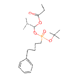 CCC(=O)OC(OP(=O)(CCCCc1ccccc1)OC(C)(C)C)C(C)C